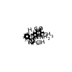 CCC1C(=O)N(C)c2cnc(-n3ccnc3-c3ccccc3)nc2N1N.Cl